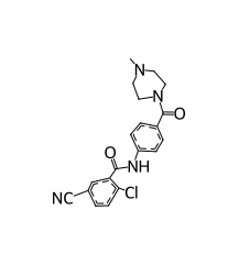 CN1CCN(C(=O)c2ccc(NC(=O)c3cc(C#N)ccc3Cl)cc2)CC1